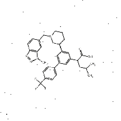 CC(C)CC(C(=O)O)c1cc(-c2ccc(C(F)(F)F)cc2)cc(C2CCCN(Cc3ccc4nnn(C)c4c3)C2)c1